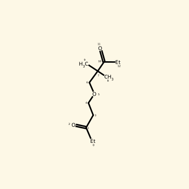 CCC(=O)CCOCC(C)(C)C(=O)CC